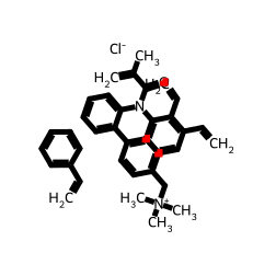 C=Cc1cccc(N(C(=O)C(=C)C)c2ccccc2-c2ccc(C[N+](C)(C)C)cc2)c1C=C.C=Cc1ccccc1.[Cl-]